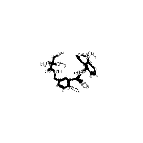 Cn1ncc2c(NC(=O)c3cc(CNC(=O)C(C)(C)CO)ccc3Cl)cccc21